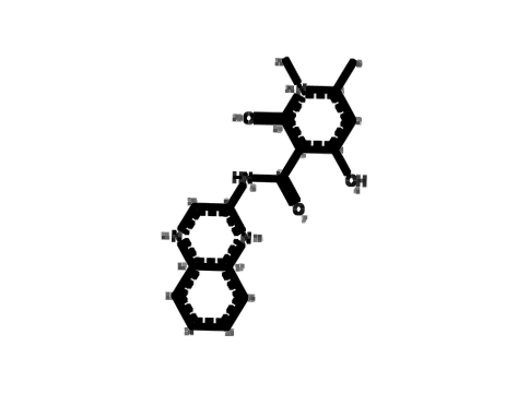 Cc1cc(O)c(C(=O)Nc2cnc3ccccc3n2)c(=O)n1C